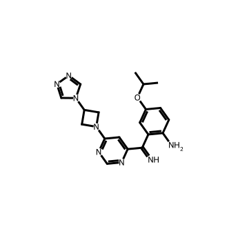 CC(C)Oc1ccc(N)c(C(=N)c2cc(N3CC(n4cnnc4)C3)ncn2)c1